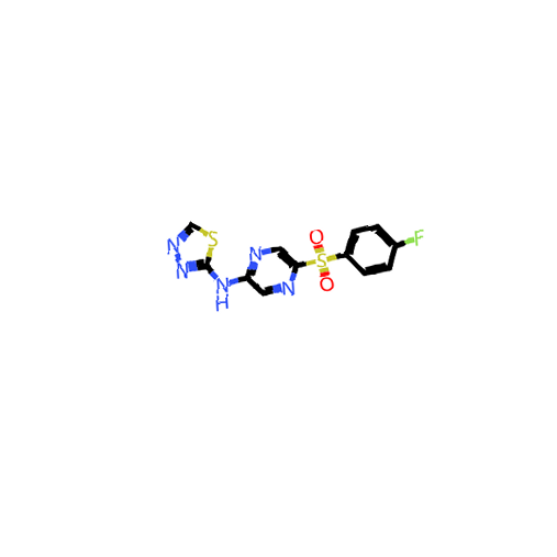 O=S(=O)(c1ccc(F)cc1)c1cnc(Nc2nncs2)cn1